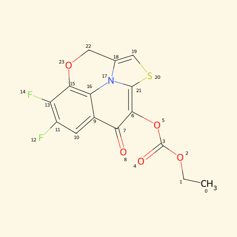 CCOC(=O)Oc1c(=O)c2cc(F)c(F)c3c2n2c(csc12)CO3